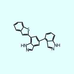 c1ccc2sc(-c3cc(-c4cccc5[nH]ncc45)cc4cn[nH]c34)cc2c1